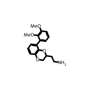 COc1cccc(-c2cccc3c2OC(CCN)CO3)c1OC